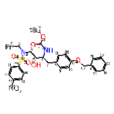 CC(C)CN(C[C@@H](O)[C@H](Cc1ccc(OCc2ccccc2)cc1)NC(=O)OC(C)(C)C)S(=O)(=O)c1ccc([N+](=O)[O-])cc1